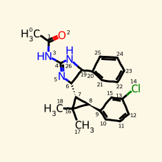 CC(=O)NC1=NC([C@@H]2[C@@H](c3cccc(Cl)c3)C2(C)C)C(c2ccccc2)N1